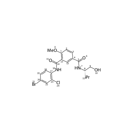 COc1ccc(C(=O)N[C@H](CO)C(C)C)cc1C(=O)Nc1ccc(Br)cc1Cl